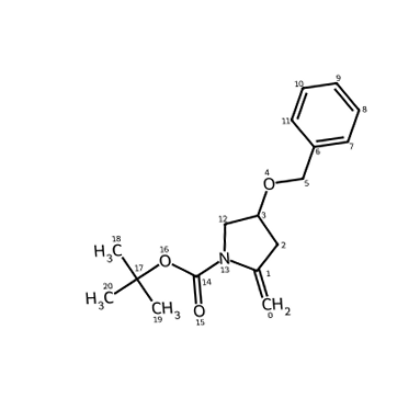 C=C1CC(OCc2ccccc2)CN1C(=O)OC(C)(C)C